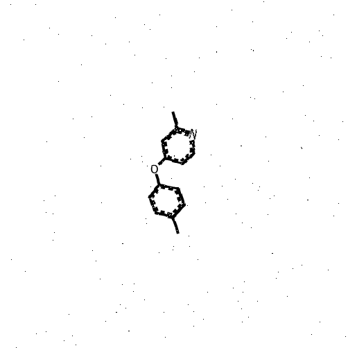 Cc1ccc(Oc2ccnc(C)c2)cc1